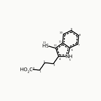 O=C(O)CCCc1[nH]c2ccccc2c1S